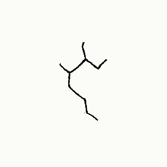 C[CH]CCC(C)C(C)CC